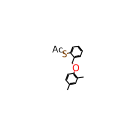 CC(=O)Sc1ccccc1COc1ccc(C)cc1C